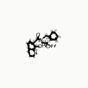 O=C(c1ccc2cccnc2c1O)N(CCO)Cc1ccccc1